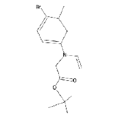 C=CN(CC(=O)OC(C)(C)C)C1=CC=C(Br)C(C)C1